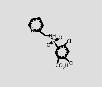 O=C(O)c1cc(S(=O)(=O)NCc2ccccn2)c(Cl)cc1Cl